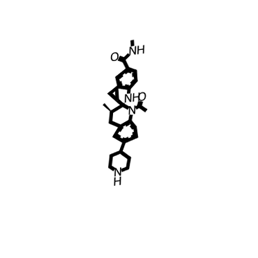 CNC(=O)c1ccc(N[C@@]2(C3CC3)[C@H](C)Cc3cc(C4CCNCC4)ccc3N2C(C)=O)cc1